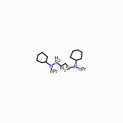 CCCN([SiH2]CC[SiH2]N(CCC)C1CCCCC1)C1CCCCC1